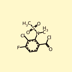 CN(c1c(C(=O)Cl)ccc(F)c1Cl)S(C)(=O)=O